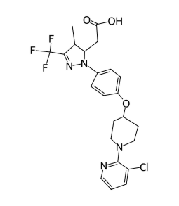 CC1C(C(F)(F)F)=NN(c2ccc(OC3CCN(c4ncccc4Cl)CC3)cc2)C1CC(=O)O